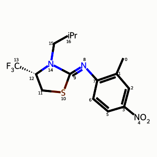 Cc1cc([N+](=O)[O-])ccc1N=C1SC[C@H](C(F)(F)F)N1CC(C)C